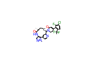 C[C@@H]1CCC[C@H](N2CCC(c3c(C(C)(F)F)ccc(Cl)c3F)=CC2=O)c2cc(ccn2)-c2c(cnn2C)NC1=O